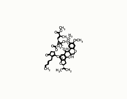 C=C(C)[C@H]1Cc2c(ccc3c2O[C@@H]2COc4cc(OC)c(OC)cc4[C@@H]2C3=O)O1.C=C/C=C/CC1=C(C)[C@@H](OC(=O)[C@@H]2[C@@H](/C=C(\C)C(=O)OC)C2(C)C)CC1=O